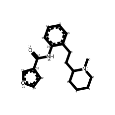 CN1CCCCC1CCc1ccccc1NC(=O)c1ccoc1